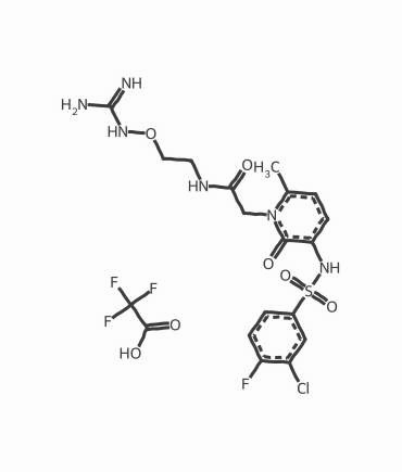 Cc1ccc(NS(=O)(=O)c2ccc(F)c(Cl)c2)c(=O)n1CC(=O)NCCONC(=N)N.O=C(O)C(F)(F)F